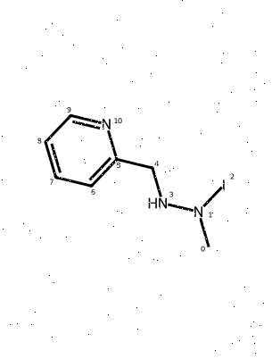 CN(I)NCc1ccccn1